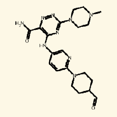 CN1CCN(c2nnc(C(N)=O)c(Nc3ccc(N4CCC(C=O)CC4)nc3)n2)CC1